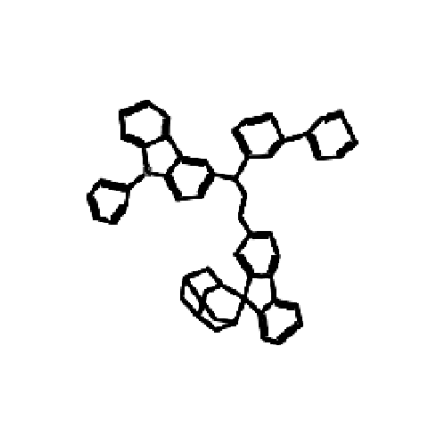 c1ccc(-c2cccc(C(CCc3ccc4c(c3)C3(c5ccccc5-4)C4CC5CC(C4)CC3C5)c3ccc4c(c3)c3ccccc3n4-c3ccccc3)c2)cc1